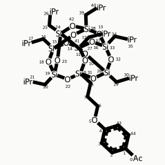 CC(=O)c1ccc(OCCC[Si]23O[Si]4(CC(C)C)O[Si]5(CC(C)C)O[Si](CC(C)C)(O2)O[Si]2(CC(C)C)O[Si](CC(C)C)(O3)O[Si](CC(C)C)(O4)O[Si](CC(C)C)(O5)O2)cc1